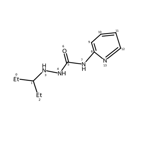 CCC(CC)NNC(=O)Nc1ccccn1